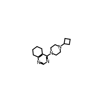 c1nc2c(c(N3CCN(C4CCC4)CC3)n1)CCCC2